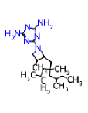 CCC(C)CC(C)(CC(C)C)CC1CN(c2nc(N)nc(N)n2)CC1C